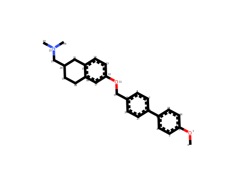 COc1ccc(-c2ccc(COc3ccc4c(c3)CCC(CN(C)C)C4)cc2)cc1